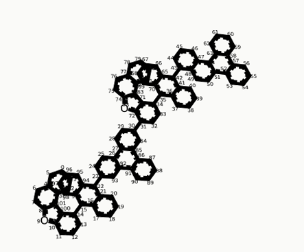 c1ccc2c(c1)ccc1oc3cccc(-c4c5ccccc5c(-c5ccc6c7ccc(-c8ccc(-c9c%10ccccc%10c(-c%10cccc%11c%10ccc%10c%12ccccc%12c%12ccccc%12c%11%10)c%10ccccc9%10)c9c8oc8ccc%10ccccc%10c89)cc7c7ccccc7c6c5)c5ccccc45)c3c12